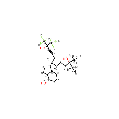 [2H]C([2H])([2H])C(O)(CCC[C@](C)(CC#CC(O)(C(F)(F)F)C(F)(F)F)[C@H]1CCC2[C@@H](O)CCC[C@@]21C)C([2H])([2H])[2H]